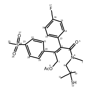 CC(=O)OC/C(=C(\C(=O)N(C)CC(C)(C)S)c1ccc(F)cc1)c1ccc(S(C)(=O)=O)cc1